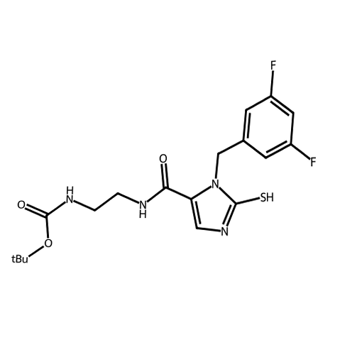 CC(C)(C)OC(=O)NCCNC(=O)c1cnc(S)n1Cc1cc(F)cc(F)c1